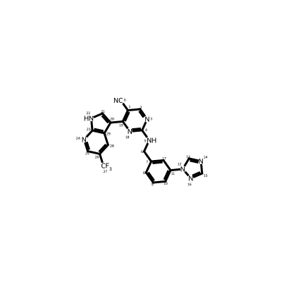 N#Cc1cnc(NCc2cccc(-n3cncn3)c2)nc1-c1c[nH]c2ncc(C(F)(F)F)cc12